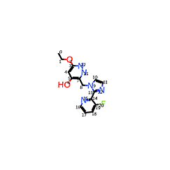 CCOc1cc(O)c(Cn2ccnc2-c2ncccc2F)nn1